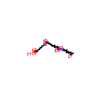 CC(=O)CCCCCCCNOC(=O)CCCCCCCCCC(=O)ONCCCCCCCC(=O)O